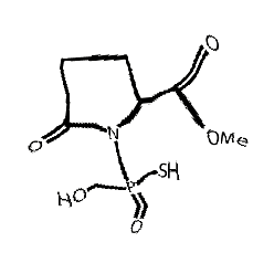 COC(=O)C1CCC(=O)N1P(=O)(O)S